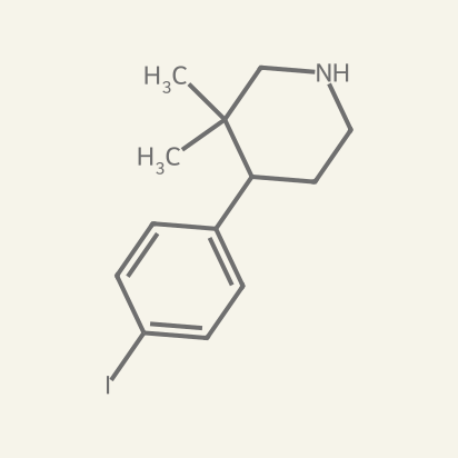 CC1(C)CNCCC1c1ccc(I)cc1